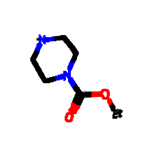 CCOC(=O)N1CC[N]CC1